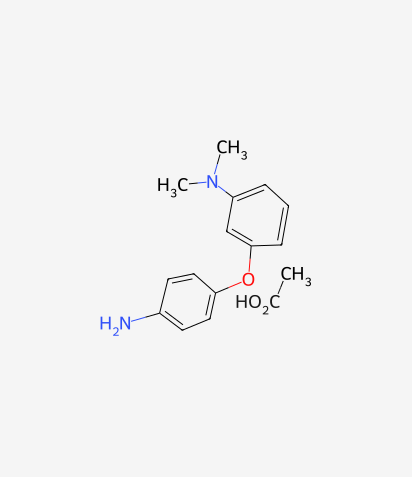 CC(=O)O.CN(C)c1cccc(Oc2ccc(N)cc2)c1